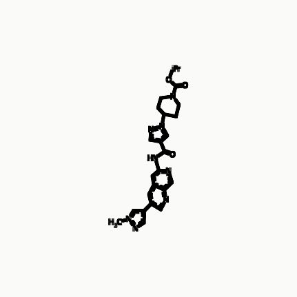 CC(C)OC(=O)N1CCC(n2cc(C(=O)Nc3cc4cc(-c5cnn(C)c5)cnc4cn3)cn2)CC1